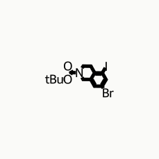 CC(C)(C)OC(=O)N1CCc2c(I)cc(Br)cc2C1